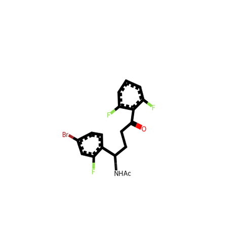 CC(=O)NC(CCC(=O)c1c(F)cccc1F)c1ccc(Br)cc1F